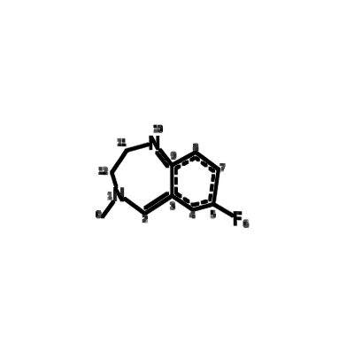 CN1C=c2cc(F)ccc2=NCC1